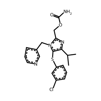 CC(C)c1nc(COC(N)=O)n(Cc2cccnc2)c1Sc1cccc(Cl)c1